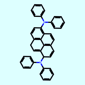 C1=CC(N(c2ccccc2)c2ccccc2)C2=CCc3ccc(N(c4ccccc4)c4ccccc4)c4ccc1c2c34